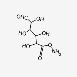 NOC(=O)C(O)C(O)C(O)C(O)C=O